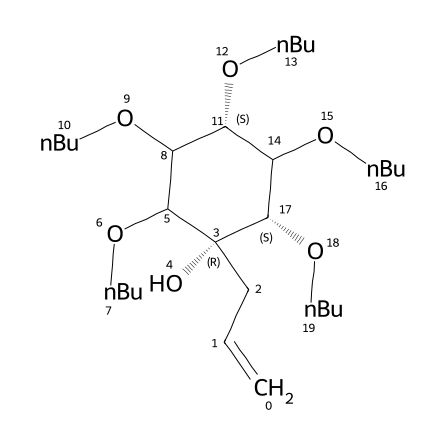 C=CC[C@@]1(O)C(OCCCC)C(OCCCC)[C@H](OCCCC)C(OCCCC)[C@@H]1OCCCC